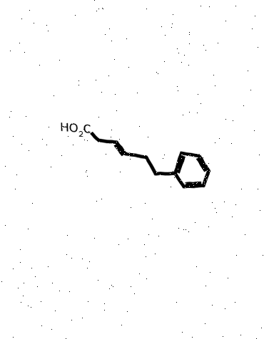 O=C(O)CC=CCCc1ccccc1